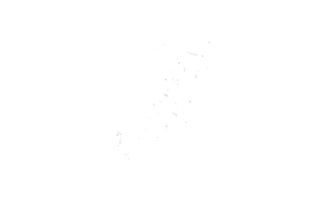 C[C@@H](c1ccc(-c2cncc(F)c2)cc1)N1CC[C@@](CCC(=O)O)(c2ccc(F)cc2)OC1=O